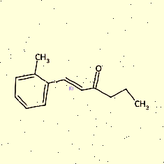 CCCC(=O)/C=C/c1ccccc1C